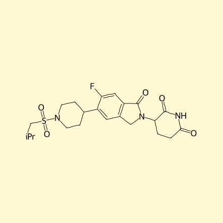 CC(C)CS(=O)(=O)N1CCC(c2cc3c(cc2F)C(=O)N(C2CCC(=O)NC2=O)C3)CC1